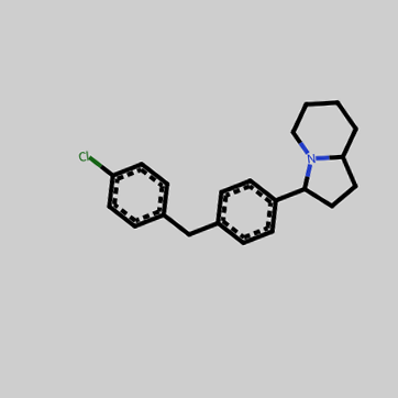 Clc1ccc(Cc2ccc(C3CCC4CCCCN43)cc2)cc1